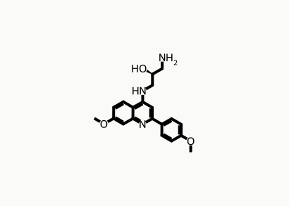 COc1ccc(-c2cc(NC[C@@H](O)CN)c3ccc(OC)cc3n2)cc1